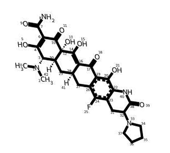 CN(C)[C@@H]1C(O)=C(C(N)=O)C(=O)[C@@]2(O)C(O)=C3C(=O)c4c(O)c5c(c(F)c4C[C@H]3C[C@@H]12)CC(N1CCCC1)C(=O)N5